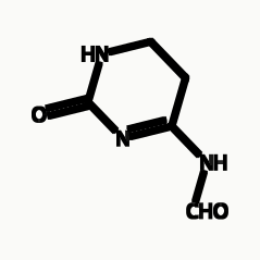 O=CNC1=NC(=O)NCC1